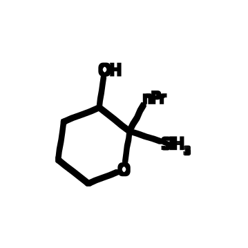 CCCC1([SiH3])OCCCC1O